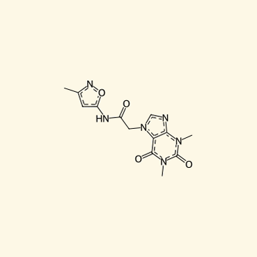 Cc1cc(NC(=O)Cn2cnc3c2c(=O)n(C)c(=O)n3C)on1